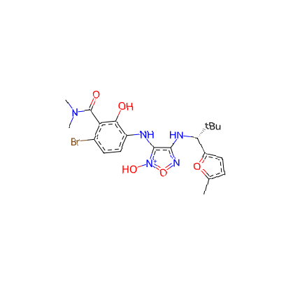 Cc1ccc([C@H](Nc2no[n+](O)c2Nc2ccc(Br)c(C(=O)N(C)C)c2O)C(C)(C)C)o1